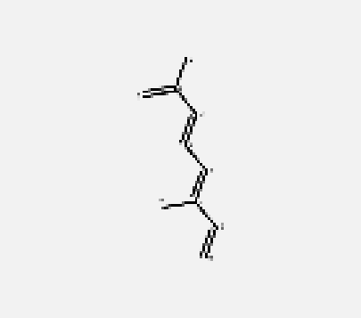 [CH]=C(C)/C=C/C=C(\C)C=C